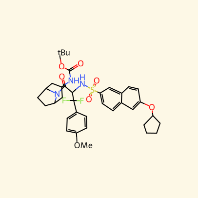 COc1ccc(C(F)(F)C(NS(=O)(=O)c2ccc3cc(OC4CCCC4)ccc3c2)C(=O)N2C3CCC2CC(NC(=O)OC(C)(C)C)C3)cc1